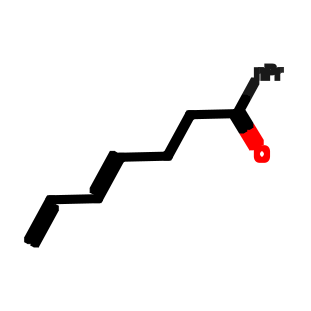 C=CC=CCCC(=O)CCC